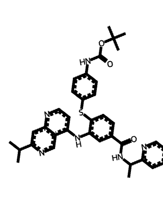 CC(C)c1cc2nccc(Nc3cc(C(=O)NC(C)c4ccccn4)ccc3Sc3ccc(NC(=O)OC(C)(C)C)cc3)c2cn1